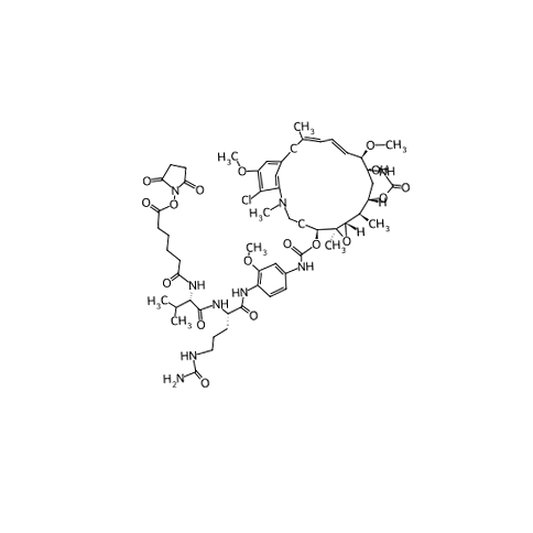 COc1cc(NC(=O)O[C@H]2CCN(C)c3cc(cc(OC)c3Cl)C/C(C)=C/C=C/[C@@H](OC)[C@@]3(O)C[C@H](OC(=O)N3)[C@@H](C)[C@@H]3O[C@@]23C)ccc1NC(=O)[C@H](CCCNC(N)=O)NC(=O)[C@@H](NC(=O)CCCCC(=O)ON1C(=O)CCC1=O)C(C)C